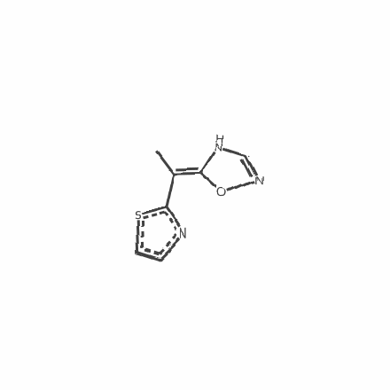 CC(=C1N[C]=NO1)c1nccs1